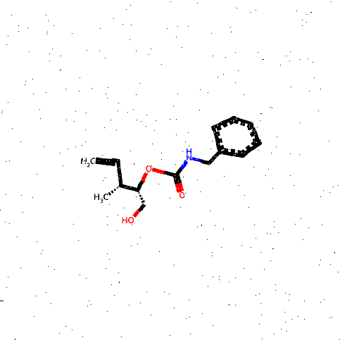 C=C[C@@H](C)[C@@H](CO)OC(=O)NCc1ccccc1